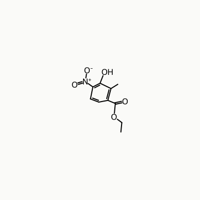 CCOC(=O)c1ccc([N+](=O)[O-])c(O)c1C